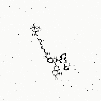 Cn1cncc1-c1cc(-c2nc3cc(C(=O)NCCOCCOCCNC(=O)OC(C)(C)C)ccc3n2-c2ccc3c(c2)CCC(=O)N3)c2ccccc2n1